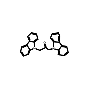 O=C(Cn1c2ccccc2c2ccccc21)Cn1c2ccccc2c2ccccc21